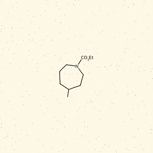 CCOC(=O)N1CCCC(C)CC1